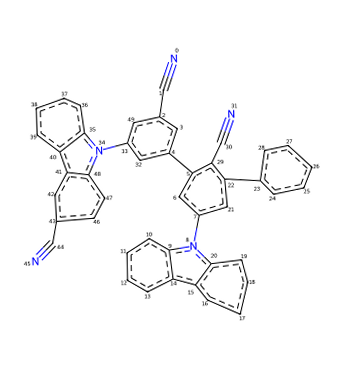 N#Cc1cc(-c2cc(-n3c4ccccc4c4ccccc43)cc(-c3ccccc3)c2C#N)cc(-n2c3ccccc3c3cc(C#N)ccc32)c1